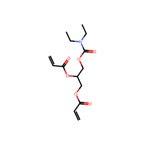 C=CC(=O)OCC(COC(=O)N(CC)CC)OC(=O)C=C